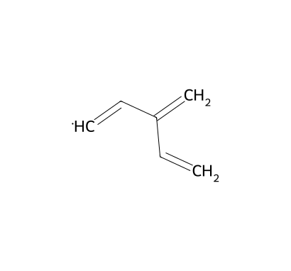 [CH]=CC(=C)C=C